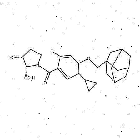 CC[C@@H]1CCN(C(=O)c2cc(C3CC3)c(OCC34CC5CC(CC(C5)C3)C4)cc2F)[C@@H]1C(=O)O